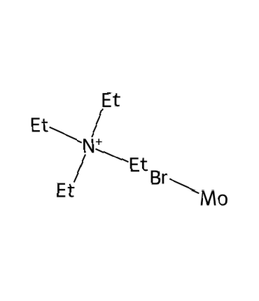 CC[N+](CC)(CC)CC.[Br][Mo]